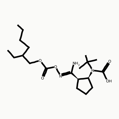 CCCCC(CC)COC(=O)ON=C(N)[C@@H]1CCC[C@@H]1N(C(=O)O)C(C)(C)C